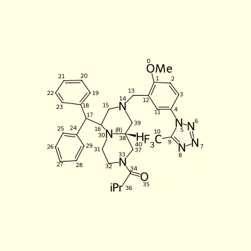 COc1ccc(-n2nnnc2C(F)(F)F)cc1CN1CC(C(c2ccccc2)c2ccccc2)N2CCN(C(=O)C(C)C)C[C@H]2C1